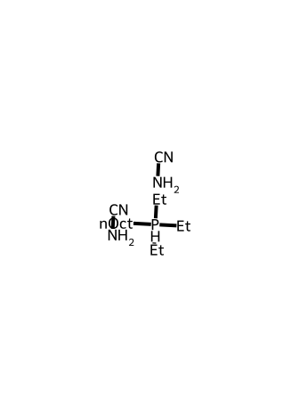 CCCCCCCC[PH](CC)(CC)CC.N#CN.N#CN